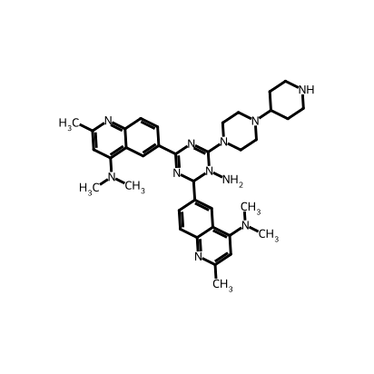 Cc1cc(N(C)C)c2cc(C3=NC(c4ccc5nc(C)cc(N(C)C)c5c4)N(N)C(N4CCN(C5CCNCC5)CC4)=N3)ccc2n1